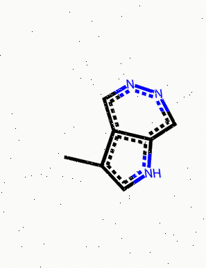 Cc1c[nH]c2cnncc12